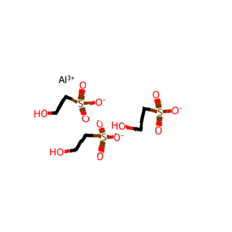 O=S(=O)([O-])CCO.O=S(=O)([O-])CCO.O=S(=O)([O-])CCO.[Al+3]